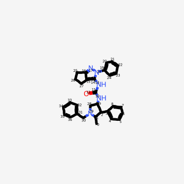 CC1C(c2ccccc2)C(NC(=O)Nc2c3c(nn2-c2ccccc2)CCC3)CN1Cc1ccccc1